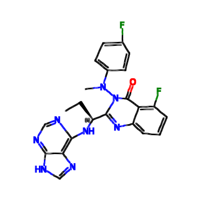 CC[C@H](Nc1ncnc2[nH]cnc12)c1nc2cccc(F)c2c(=O)n1N(C)c1ccc(F)cc1